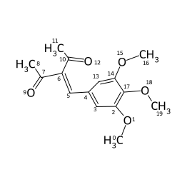 COc1cc(C=C(C(C)=O)C(C)=O)cc(OC)c1OC